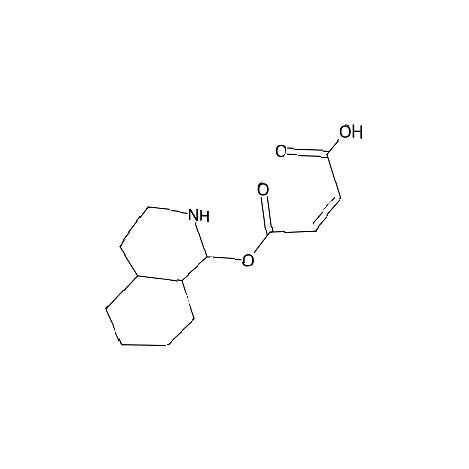 O=C(O)/C=C\C(=O)OC1NCCC2CCCCC21